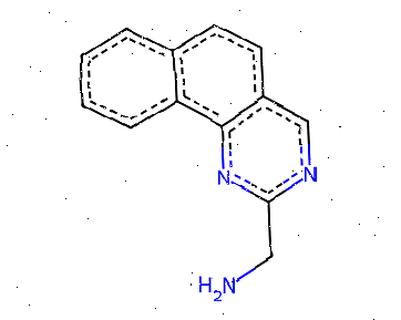 NCc1ncc2ccc3ccccc3c2n1